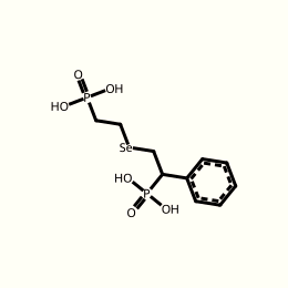 O=P(O)(O)CC[Se]CC(c1ccccc1)P(=O)(O)O